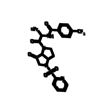 CCCC(NC(=O)c1ccc(C(F)(F)F)cc1)C(=O)N1CCC2C1C(=O)CN2S(=O)(=O)c1ccccn1